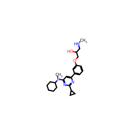 CNCC(O)COc1cccc(-c2cc(N(C)C3CCCCC3)nc(C3CC3)n2)c1